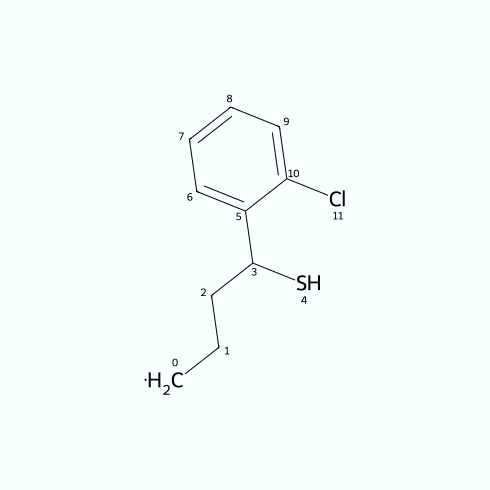 [CH2]CCC(S)c1ccccc1Cl